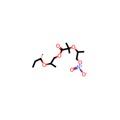 CC[C@H](C)OC(C)COC(=O)C(C)(C)OC(C)CO[N+](=O)[O-]